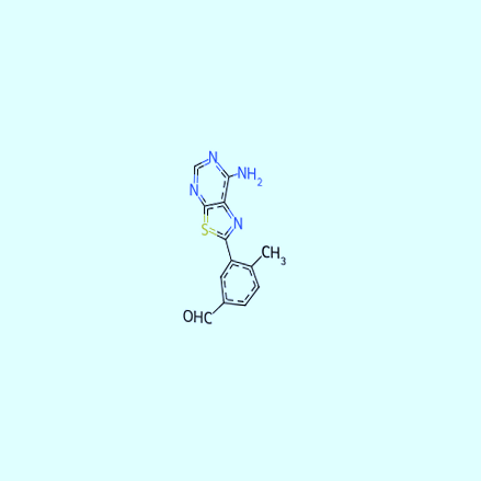 Cc1ccc(C=O)cc1-c1nc2c(N)ncnc2s1